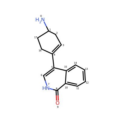 NC1CC=C(c2c[nH]c(=O)c3ccccc23)CC1